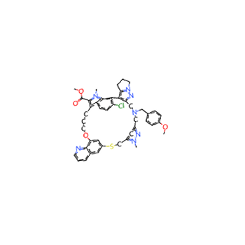 COC(=O)c1c2c3ccc(Cl)c(c3n1C)-c1c(nn3c1CCC3)CN(Cc1ccc(OC)cc1)Cc1cc(n(C)n1)CSc1cc(c3ncccc3c1)OCCC2